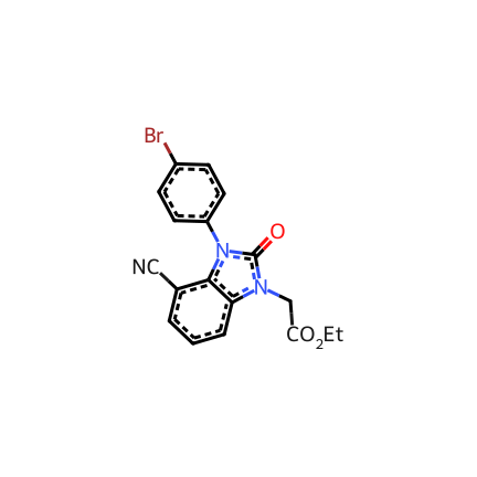 CCOC(=O)Cn1c(=O)n(-c2ccc(Br)cc2)c2c(C#N)cccc21